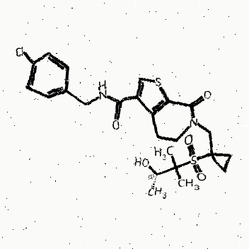 C[C@H](O)C(C)(C)S(=O)(=O)C1(CN2CCc3c(C(=O)NCc4ccc(Cl)cc4)csc3C2=O)CC1